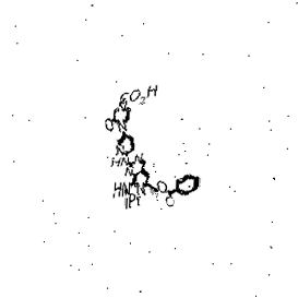 CC(C)Nc1nc([C@@H](C)OC(=O)c2ccccc2)cc2cnc(Nc3ccc(N4CCN(C(=O)O)CC4=O)cn3)nc12